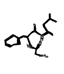 CC(C)CC(C)NC(=O)C(Cc1ccccc1)NC(=O)CN